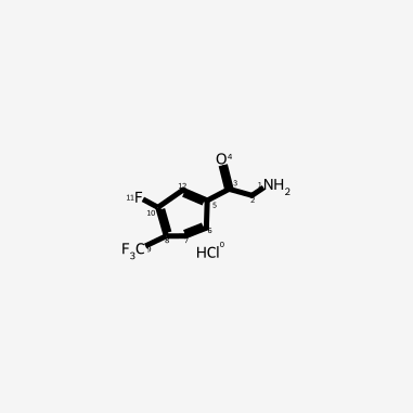 Cl.NCC(=O)c1ccc(C(F)(F)F)c(F)c1